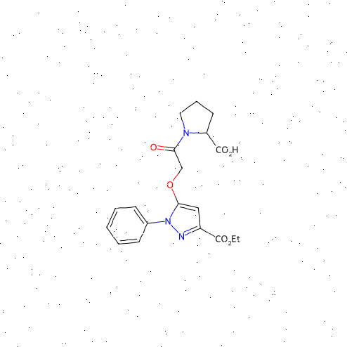 CCOC(=O)c1cc(OCC(=O)N2CCCC2C(=O)O)n(-c2ccccc2)n1